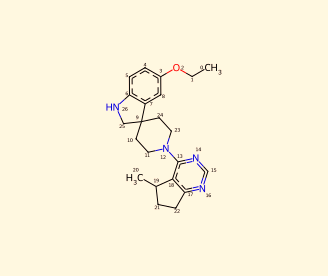 CCOc1ccc2c(c1)C1(CCN(c3ncnc4c3C(C)CC4)CC1)CN2